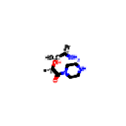 CC(C)[C@H](N)C(=O)O.C[C@H](O)C(=O)N1CCNCC1